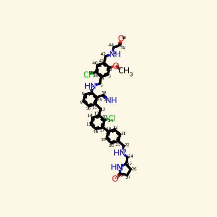 COc1cc(CNc2cccc(Cc3cccc(-c4ccc(CNCC5CCC(=O)N5)cc4)c3Cl)c2C=N)c(Cl)cc1CNCC=O